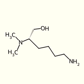 CN(C)[C@H](CO)CCCCN